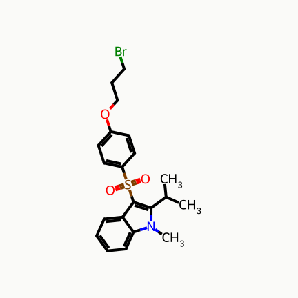 CC(C)c1c(S(=O)(=O)c2ccc(OCCCBr)cc2)c2ccccc2n1C